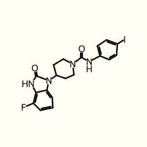 O=C(Nc1ccc(I)cc1)N1CCC(n2c(=O)[nH]c3c(F)cccc32)CC1